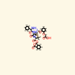 CC1(C)S[C@@H]2[C@H](NC(=O)C(N)c3ccccc3)C(=O)N2[C@H]1C(=O)OC1OC(=O)c2ccccc21.COc1ccccc1OCC(=O)O